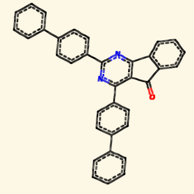 O=C1c2ccccc2-c2nc(-c3ccc(-c4ccccc4)cc3)nc(-c3ccc(-c4ccccc4)cc3)c21